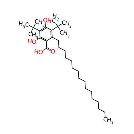 CCCCCCCCCCCCCCCCc1c(C(=O)O)c(O)c(C(C)(C)C)c(O)c1C(C)(C)C